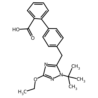 CCOc1nc(Cc2ccc(-c3ccccc3C(=O)O)cc2)n(C(C)(C)C)n1